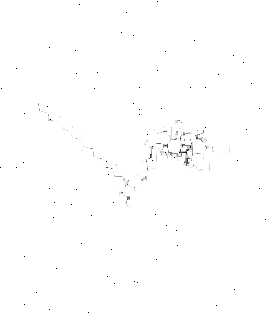 CCCCCCCCCCCCCCCCO[C@H]1CC(O)O[C@H]1COCCC[C@@H](C)[C@H]1CC[C@H]2[C@@H]3[C@H](O)C[C@@H]4C[C@H](O)CC(P(=O)(O)O)[C@]4(C)[C@H]3C[C@H](O)[C@]12C